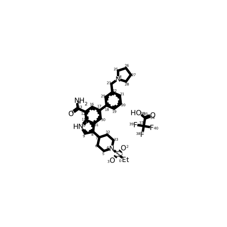 CCS(=O)(=O)N1CCC(c2c[nH]c3c(C(N)=O)cc(-c4cccc(CN5CCCC5)c4)cc23)CC1.O=C(O)C(F)(F)F